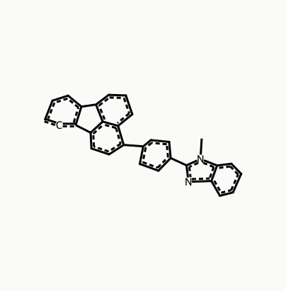 Cn1c(-c2ccc(-c3ccc4c5c(cccc35)-c3ccccc3-4)cc2)nc2ccccc21